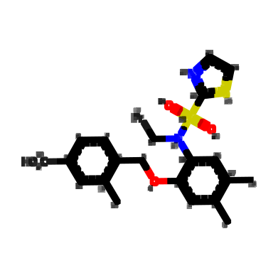 Cc1cc(OCc2ccc(C(=O)O)cc2C)c(N(CC(C)C)S(=O)(=O)c2nccs2)cc1C